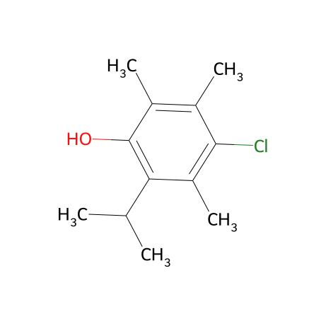 Cc1c(C)c(Cl)c(C)c(C(C)C)c1O